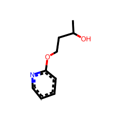 CC(O)CCOc1cc[c]cn1